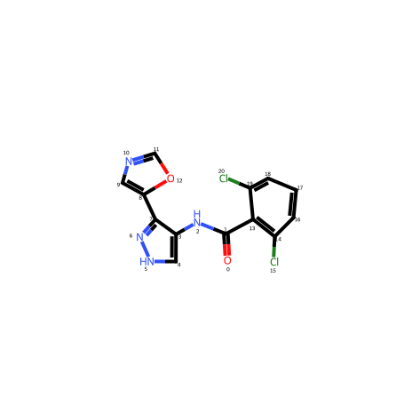 O=C(Nc1c[nH]nc1-c1cnco1)c1c(Cl)cccc1Cl